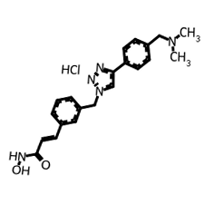 CN(C)Cc1ccc(-c2cn(Cc3cccc(/C=C/C(=O)NO)c3)nn2)cc1.Cl